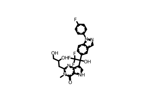 Cn1c(CC(O)CO)nc2c(C(O)(c3ccc4c(cnn4-c4ccc(F)cc4)c3)C(F)(F)F)c[nH]c2c1=O